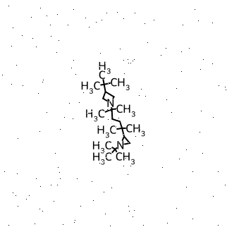 CC(C)(C)C1CN(C(C)(C)CCC(C)(C)C2CN2C(C)(C)C)C1